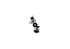 C=C(B1OC(C)(C)C(C)(C)O1)C1CCC(NC(=O)OC(C)(C)C)CC1